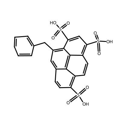 O=S(=O)(O)c1ccc2cc(Cc3ccccc3)c3c(S(=O)(=O)O)cc(S(=O)(=O)O)c4ccc1c2c43